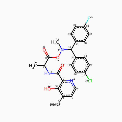 COc1ccnc(C(=O)NC(C)C(=O)ON(C)C(c2ccc(F)cc2)c2ccc(Cl)cc2)c1O